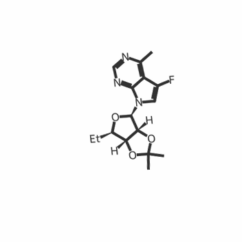 CC[C@H]1O[C@@H](n2cc(F)c3c(C)ncnc32)[C@@H]2OC(C)(C)O[C@@H]21